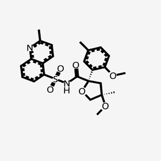 COc1ccc(C)cc1[C@]1(C(=O)NS(=O)(=O)c2cccc3nc(C)ccc23)C[C@@](C)(OC)CO1